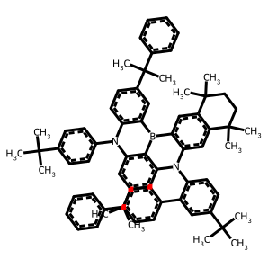 CC(C)c1cc2c3c(c1)N(c1ccc(C(C)(C)C)cc1-c1ccc(-c4ccccc4)cc1)c1cc4c(cc1B3c1cc(C(C)(C)c3ccccc3)ccc1N2c1ccc(C(C)(C)C)cc1)C(C)(C)CCC4(C)C